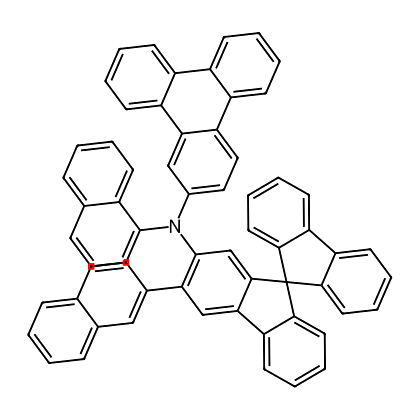 c1ccc2c(c1)-c1ccccc1C21c2ccccc2-c2cc(-c3ccc4ccccc4c3)c(N(c3ccc4c5ccccc5c5ccccc5c4c3)c3cccc4ccccc34)cc21